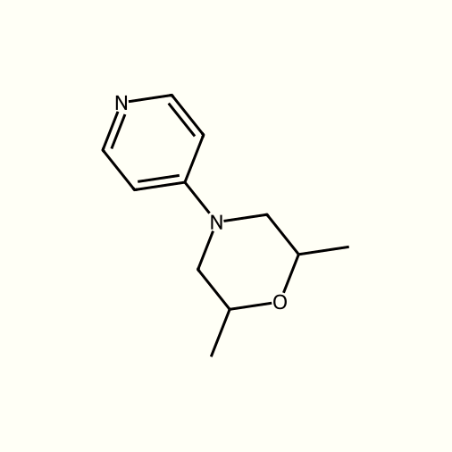 CC1CN(c2ccncc2)CC(C)O1